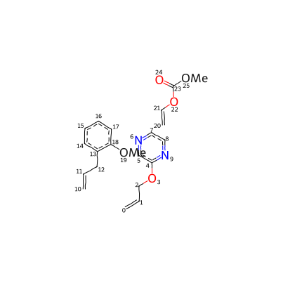 C=CCOc1cnccn1.C=CCc1ccccc1OC.C=COC(=O)OC